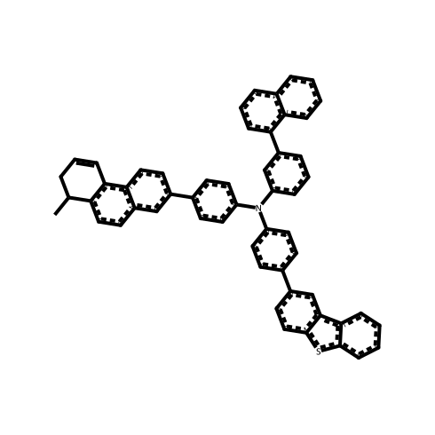 CC1CC=Cc2c1ccc1cc(-c3ccc(N(c4ccc(-c5ccc6sc7ccccc7c6c5)cc4)c4cccc(-c5cccc6ccccc56)c4)cc3)ccc21